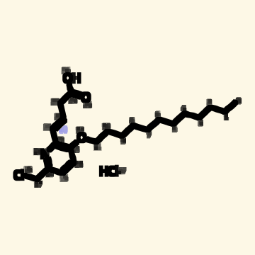 CCCCCCCCCCCCOc1ccc(CCl)nc1/C=C/CC(=O)O.Cl